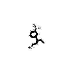 CC/C(=C/CO)c1cccc([N+](=O)[O-])c1